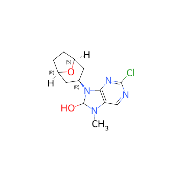 CN1c2cnc(Cl)nc2N([C@H]2C[C@H]3CC[C@@H](C2)O3)C1O